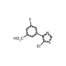 CCc1scnc1-c1cc(F)cc(C(=O)O)c1